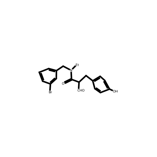 CCN(Cc1cccc(Br)c1)C(=O)C(C=O)Cc1ccc(O)cc1